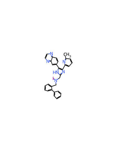 Cc1cccc(-c2nc(CN(I)Cc3ccccc3-c3ccccc3)[nH]c2-c2ccc3nccnc3c2)n1